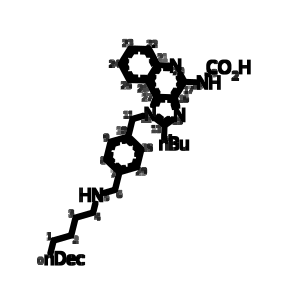 CCCCCCCCCCCCCCNCc1ccc(Cn2c(CCCC)nc3c(NC(=O)O)nc4ccccc4c32)cc1